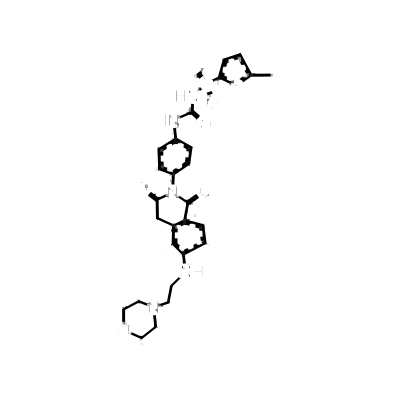 Cc1ccc(S(=O)(=O)NC(=O)Nc2ccc(N3C(=O)Cc4cc(NCCN5CCOCC5)ccc4C3=O)cc2)s1